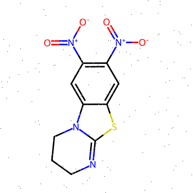 O=[N+]([O-])c1cc2c(cc1[N+](=O)[O-])N1CCCN=C1S2